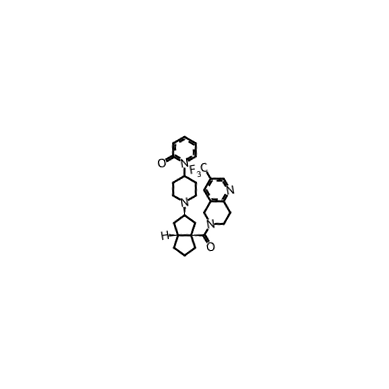 O=C(N1CCc2ncc(C(F)(F)F)cc2C1)[C@@]12CCC[C@@H]1C[C@@H](N1CCC(n3ccccc3=O)CC1)C2